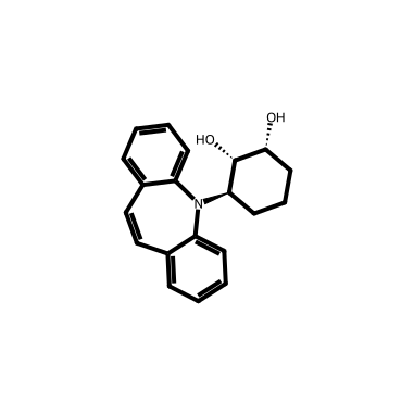 O[C@@H]1[C@H](O)CCC[C@H]1N1c2ccccc2C=Cc2ccccc21